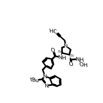 C#CCN1C[C@H](C(=O)NO)[C@H](NC(=O)c2ccc(Cn3c(C(C)(C)C)nc4ccccc43)cc2)C1